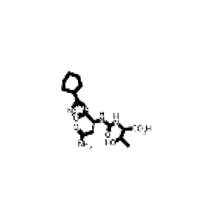 CC(O)C(NC(=O)N[C@@H](CC(N)=O)c1nc(C2CCCCC2)no1)C(=O)O